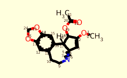 COC1=C[C@]23CCCN2CCc2cc4c(cc2[C@@H]3C1OC(C)=O)OCO4